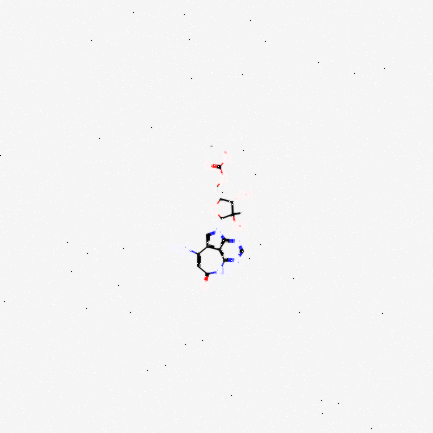 CCCCCOC(=O)OC[C@H]1O[C@@H](n2cc3c4c(ncnc42)NC(=O)C=C3N)C(C)(O)[C@@H]1O